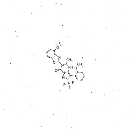 COc1ccccc1-c1c(C(F)(F)F)nn2c(=O)c(-c3nc4c(OC)cccc4o3)c(C)[nH]c12